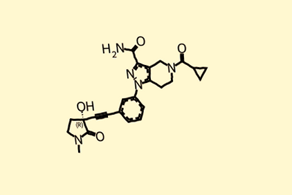 CN1CC[C@@](O)(C#Cc2cccc(-n3nc(C(N)=O)c4c3CCN(C(=O)C3CC3)C4)c2)C1=O